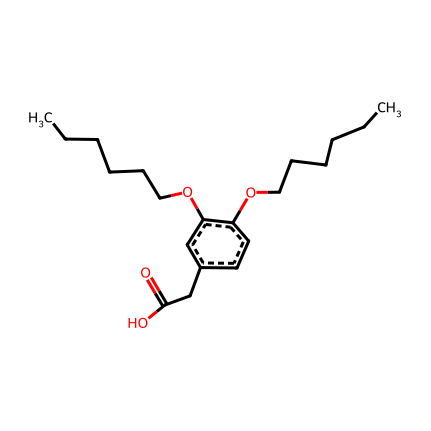 CCCCCCOc1ccc(CC(=O)O)cc1OCCCCCC